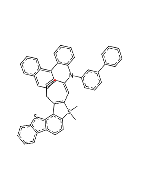 CS1(C)C2=C(CC#CC(N(c3cccc(-c4ccccc4)c3)c3ccccc3C3=c4ccccc4=CCC3)=C2)c2c1ccc1c2sc2ccccc21